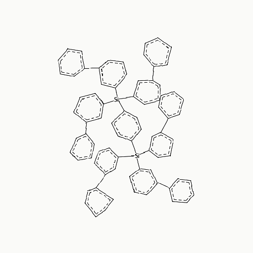 c1ccc(-c2cccc([Si](c3ccc([Si](c4cccc(-c5ccccc5)c4)(c4cccc(-c5ccccc5)c4)c4cccc(-c5ccccc5)c4)cc3)(c3cccc(-c4ccccc4)c3)c3cccc(-c4ccccc4)c3)c2)cc1